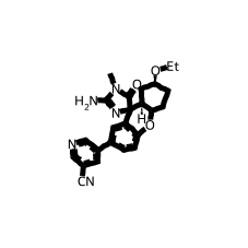 CCO[C@H]1CCC2Oc3ccc(-c4cncc(C#N)c4)cc3C3(N=C(N)N(C)C3=O)[C@H]2C1